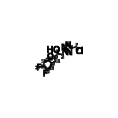 O[C@@H](Cn1nnc(CCl)n1)c1cc2cc(F)c(F)cc2o1